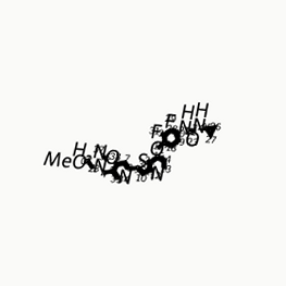 COCCN(Cc1ccc(-c2cc3nccc(Oc4ccc(NC(=O)NC5CC5)c(F)c4F)c3s2)nc1)C(N)=O